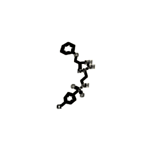 O=S(=O)(NCCN1N=C(COc2ccccc2)NN1)c1ccc(Cl)cc1